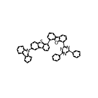 c1ccc(-c2nc(-c3ccccc3)nc(-c3cccc4c3oc3c(-c5cccc6c5sc5ccc(-n7c8ccccc8c8ccccc87)cc56)cccc34)n2)cc1